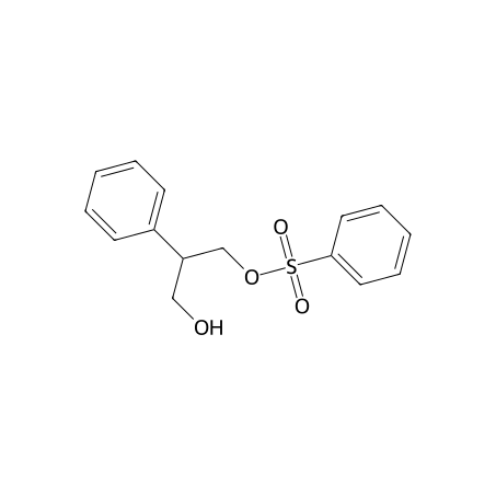 O=S(=O)(OCC(CO)c1ccccc1)c1ccccc1